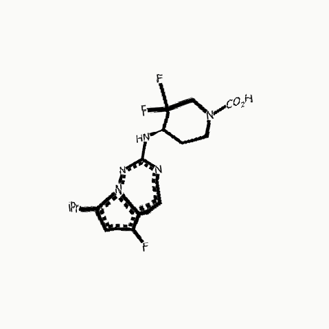 CC(C)c1cc(F)c2cnc(N[C@@H]3CCN(C(=O)O)CC3(F)F)nn12